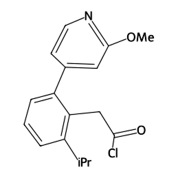 COc1cc(-c2cccc(C(C)C)c2CC(=O)Cl)ccn1